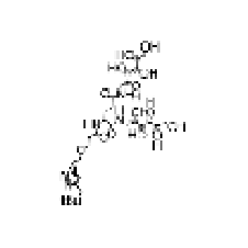 CC(C)(C)Cc1cn(CCOCCC(=O)NC(CCC(=O)NC[C@H](O)[C@@H](O)[C@H](O)[C@H](O)CO)C(=O)NC[C@H](O)[C@@H](O)[C@H](O)[C@H](O)CO)nn1